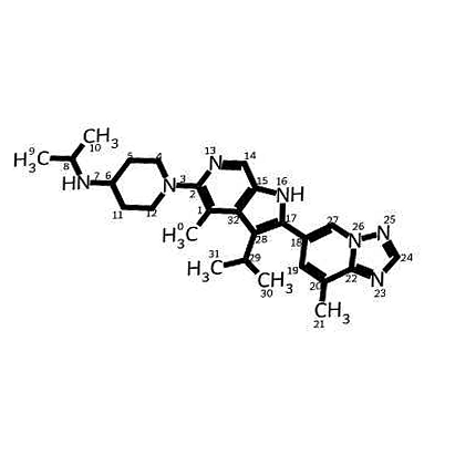 Cc1c(N2CCC(NC(C)C)CC2)ncc2[nH]c(-c3cc(C)c4ncnn4c3)c(C(C)C)c12